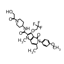 CCc1cc2c(c(OCC(F)(F)F)c(C(=O)NC3CCN(C(=O)CO)CC3)n2C)c(=O)n1-c1ccc(OC)cc1